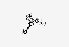 C[C@@H]1N(c2cc(C#Cc3ccn(C)n3)cnc2O[C@@H]2CN[C@H](C(=O)O)C2)CCOC12COC2